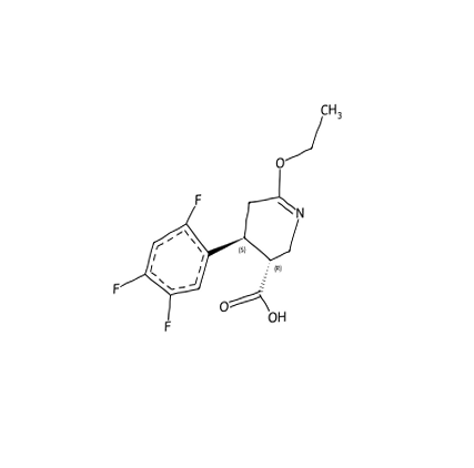 CCOC1=NC[C@H](C(=O)O)[C@@H](c2cc(F)c(F)cc2F)C1